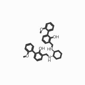 COc1ccccc1-c1cccc(CN[C@H]2CCCC[C@@H]2NCc2cccc(-c3ccccc3OC)c2O)c1O